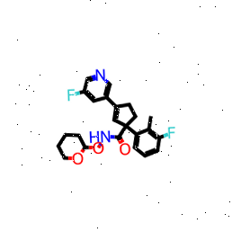 Cc1c(F)cccc1C1(C(=O)NOC2CCCCO2)C=C(c2cncc(F)c2)CC1